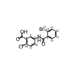 O=C(O)c1cc(NC(=O)c2ccccc2Br)ccc1Cl